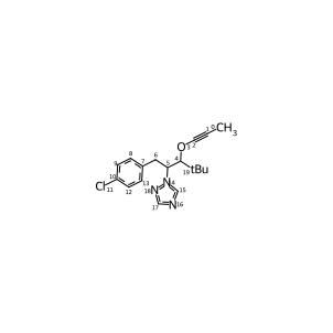 CC#COC(C(Cc1ccc(Cl)cc1)n1cncn1)C(C)(C)C